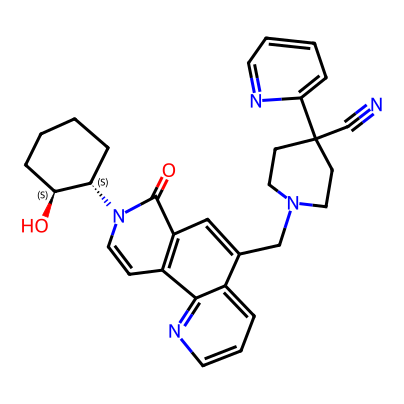 N#CC1(c2ccccn2)CCN(Cc2cc3c(=O)n([C@H]4CCCC[C@@H]4O)ccc3c3ncccc23)CC1